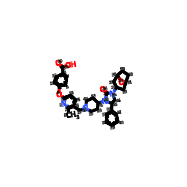 Cc1nc(Oc2ccc(C(=O)O)cc2)ccc1CN1CCC(N2C(=O)N(C3CC4CCC(C3)O4)CC2c2ccccc2)CC1